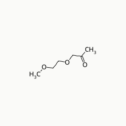 COCCOCC(C)=O